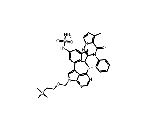 Cc1ccn2nc([C@H](C)Nc3ncnc4c3c(-c3cc(F)cc(NS(N)(=O)=O)c3)cn4COCC[Si](C)(C)C)n(-c3ccccc3)c(=O)c12